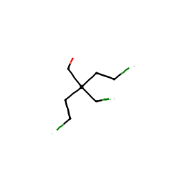 OCC(CBr)(CCBr)CCBr